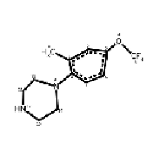 Cc1cc(OC(F)(F)F)ccc1N1CCNCC1